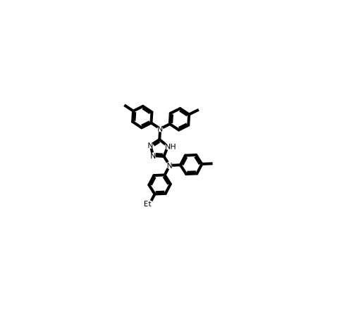 CCc1ccc(N(c2ccc(C)cc2)c2nnc(N(c3ccc(C)cc3)c3ccc(C)cc3)[nH]2)cc1